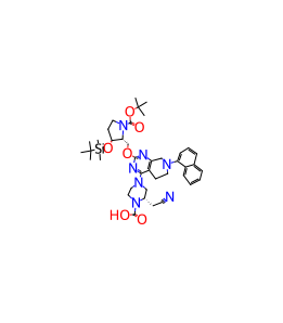 CC(C)(C)OC(=O)N1CC[C@H](O[Si](C)(C)C(C)(C)C)[C@H]1COc1nc2c(c(N3CCN(C(=O)O)[C@@H](CC#N)C3)n1)CCN(c1cccc3ccccc13)C2